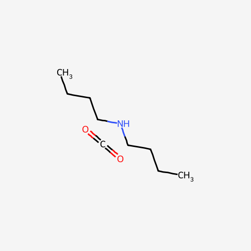 CCCCNCCCC.O=C=O